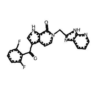 O=C(c1c(F)cccc1F)c1c[nH]c2c(=O)n(Cc3nc4cccnc4[nH]3)ccc12